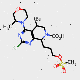 CC1COCCN1c1nc(Cl)nc2c1C(C(C)(C)C)CN(C(=O)O)C2CCCOS(C)(=O)=O